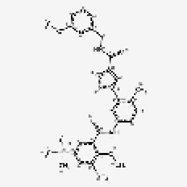 COc1cccc(CNC(=O)c2cc(-c3cc(NC(=O)c4cc(C(C)(C)C)cc(N)c4OC)ccc3C)no2)c1